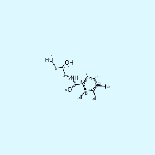 O=C(NCC(O)CO)c1c[c]c(I)c(I)c1I